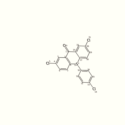 O=c1c2cc(Cl)ccc2[s+](-c2ccc(Cl)cc2)c2ccc(Cl)cc12